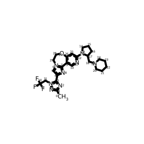 Cc1nc(-c2cn3c(n2)-c2cnc(N4CCCC4CN4CCCCC4)cc2OCC3)n(CC(F)(F)F)n1